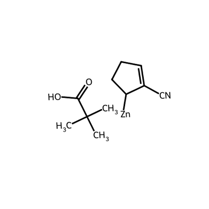 CC(C)(C)C(=O)O.N#CC1=CCC[CH]1[Zn]